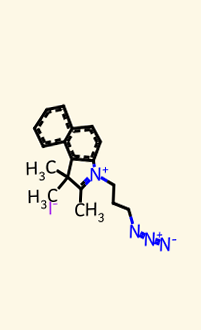 CC1=[N+](CCCN=[N+]=[N-])c2ccc3ccccc3c2C1(C)C.[I-]